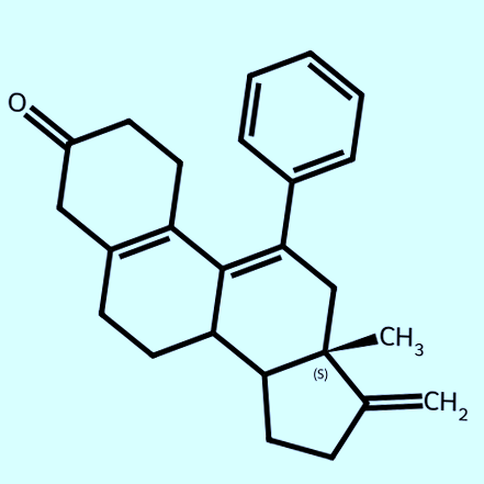 C=C1CCC2C3CCC4=C(CCC(=O)C4)C3=C(c3ccccc3)C[C@]12C